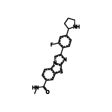 CNC(=O)c1ccc2c(c1)sc1nc(-c3ccc(C4CCCN4)cc3F)cn12